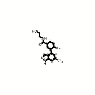 O=C(NCCO)c1ccc(F)c(-c2cc(C(F)(F)F)cc3[nH]ncc23)c1